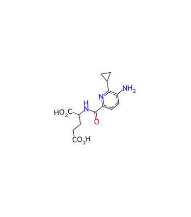 Nc1ccc(C(=O)NC(CCC(=O)O)C(=O)O)nc1C1CC1